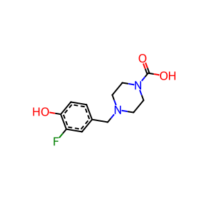 O=C(O)N1CCN(Cc2ccc(O)c(F)c2)CC1